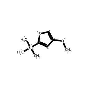 COc1cs[c]([Sn]([CH3])([CH3])[CH3])c1